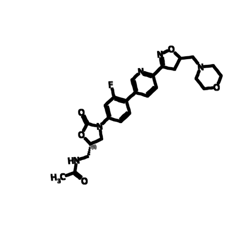 CC(=O)NC[C@H]1CN(c2ccc(-c3ccc(C4=NOC(CN5CCOCC5)C4)nc3)c(F)c2)C(=O)O1